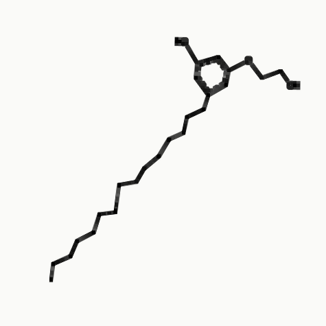 CCCCCCCCCCCCCCCc1cc(O)cc(OCCO)c1